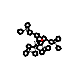 c1ccc(-n2c3ccccc3c3cc(-c4ccc5c6ccc(-c7ccc8c(c7)c7ccccc7n8-c7ccccc7)cc6c6nc7c(-c8cccc9c%10ccccc%10n(-c%10ccccc%10)c89)sc(-c8cccc9c%10ccccc%10n(-c%10ccccc%10)c89)c7nc6c5c4)ccc32)cc1